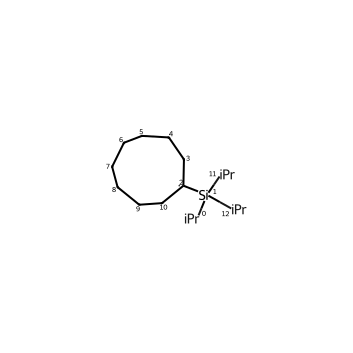 CC(C)[Si]([C]1CCCCCCCC1)(C(C)C)C(C)C